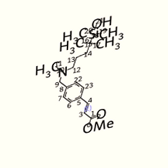 COC(=O)/C=C/c1ccc(CN(C)CCCC(C)(C)[Si](C)(C)O)cc1